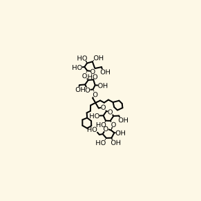 OCC1O[C@H](O[C@@H]2C(CO)O[C@@H](OCC(CCCC3CCCCC3)(CCCC3CCCCC3)CO[C@@H]3OC(CO)[C@@H](O[C@@H]4OC(CO)[C@@H](O)[C@H](O)C4O)[C@H](O)C3O)C(O)[C@H]2O)C(O)[C@@H](O)[C@@H]1O